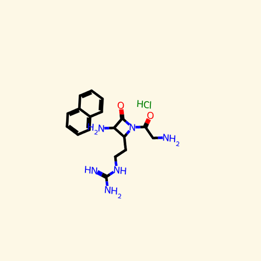 Cl.N=C(N)NCCC1C(N)C(=O)N1C(=O)CN.c1ccc2ccccc2c1